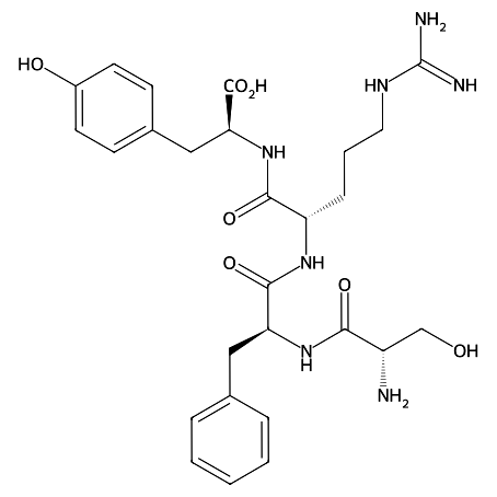 N=C(N)NCCC[C@H](NC(=O)[C@H](Cc1ccccc1)NC(=O)[C@@H](N)CO)C(=O)N[C@@H](Cc1ccc(O)cc1)C(=O)O